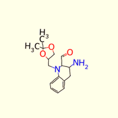 CC1(C)OCC(CN2c3ccccc3CC(N)C2C=O)O1